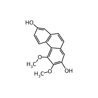 COc1c(O)cc2ccc3cc(O)ccc3c2c1OC